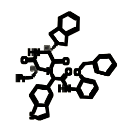 CC(C)C[C@@H]1C(=O)N[C@H](C2Cc3ccccc3C2)C(=O)N1C(C(=O)Nc1ccccc1OCc1ccccc1)c1ccc2sccc2c1